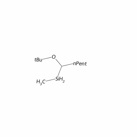 CCCCCC(OC(C)(C)C)[SiH2]C